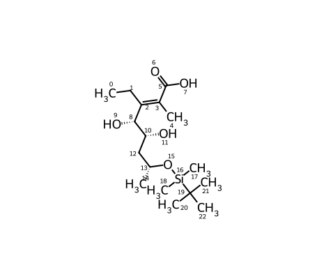 CCC(=C(C)C(=O)O)[C@@H](O)[C@H](O)C[C@@H](C)O[Si](C)(C)C(C)(C)C